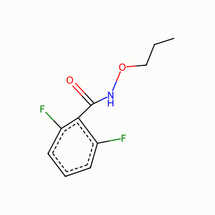 CCCONC(=O)c1c(F)cccc1F